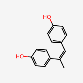 CC(=Cc1ccc(O)cc1)c1ccc(O)cc1